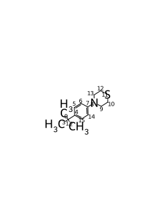 CC(C)(C)c1ccc(N2CCSCC2)cc1